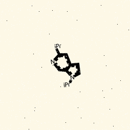 CC(C)c1cc2ccn(C(C)C)c2cn1